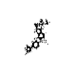 Cn1cc(-c2cccc(Oc3c([N+](=O)[O-])ccc4c3CCC4OP(=O)(N3CC3)N3CC3)c2)cn1